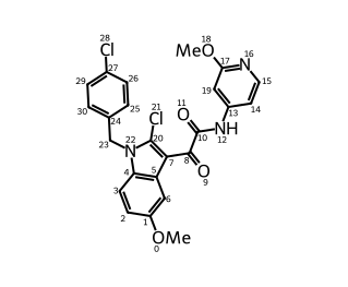 COc1ccc2c(c1)c(C(=O)C(=O)Nc1ccnc(OC)c1)c(Cl)n2Cc1ccc(Cl)cc1